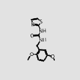 COc1ccc(OC)c(CNC(=O)Nc2nccs2)c1